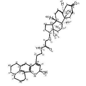 C[C@]12CCC(=O)C[C@@H]1CC[C@@H]1[C@@H]2CC[C@]2(C)[C@@H](OCC(=O)NCCC3=CC(O)Oc4c3cc3c5c4CCCN5CCC3)CC[C@@H]12